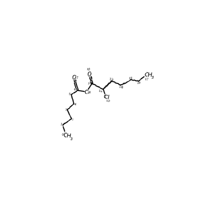 CCCCCCC(=O)OC(=O)C(Cl)CCCCC